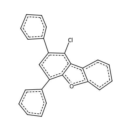 Clc1c(-c2ccccc2)cc(-c2ccccc2)c2oc3ccccc3c12